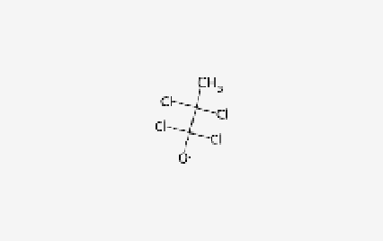 CC(Cl)(Cl)C([O])(Cl)Cl